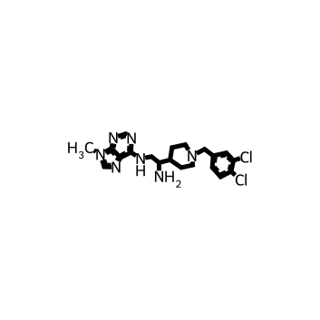 Cn1cnc2c(NCC(N)C3CCN(Cc4ccc(Cl)c(Cl)c4)CC3)ncnc21